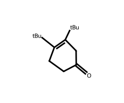 CC(C)(C)C1=C(C(C)(C)C)CC(=O)CC1